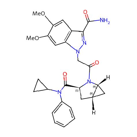 COc1cc2c(C(N)=O)nn(CC(=O)N3[C@@H]4C[C@@H]4C[C@H]3C(=O)N(c3ccccc3)C3CC3)c2cc1OC